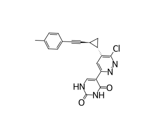 Cc1ccc(C#C[C@H]2C[C@@H]2c2cc(-c3c[nH]c(=O)[nH]c3=O)nnc2Cl)cc1